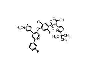 Cn1cc(-c2cc(-c3ccnc(F)c3)ncc2Oc2cc(F)c(S(=O)(=O)N(C(=O)O)c3csc(C(C)(C)C)n3)cc2Cl)cn1